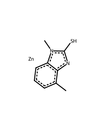 Cc1cccc2c1nc(S)n2C.[Zn]